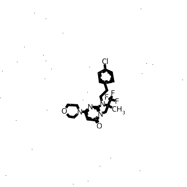 CC1(C(F)(F)F)Cn2c(nc(N3CCOCC3)cc2=O)N1CCc1ccc(Cl)cc1